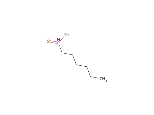 CCCCCC[PH](=S)S